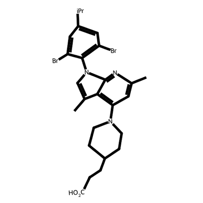 Cc1cc(N2CCC(CCC(=O)O)CC2)c2c(C)cn(-c3c(Br)cc(C(C)C)cc3Br)c2n1